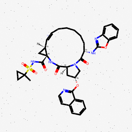 CC1(S(=O)(=O)NC(=O)[C@@]23C[C@H]2/C=C\CCCCC[C@H](Nc2nc4ccccc4o2)C(=O)N2C[C@H](Oc4nccc5ccccc45)C[C@H]2C(=O)N3)CC1